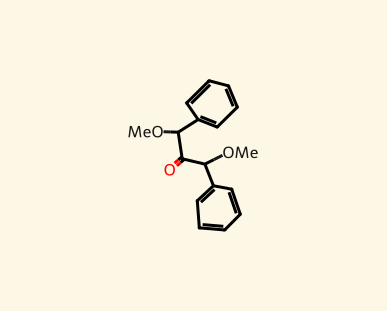 COC(C(=O)C(OC)c1ccccc1)c1ccccc1